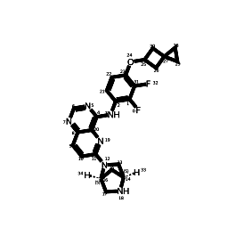 Fc1c(Nc2ncnc3ccc(N4C[C@@H]5C[C@H]4CN5)nc23)ccc(OC2CC3(CC3)C2)c1F